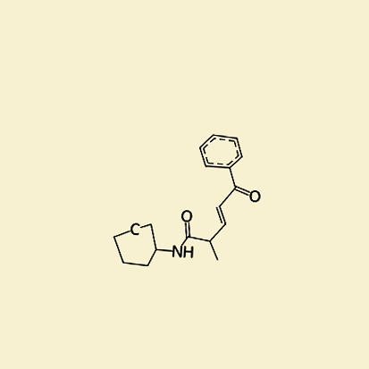 CC(C=CC(=O)c1ccccc1)C(=O)NC1CCCCC1